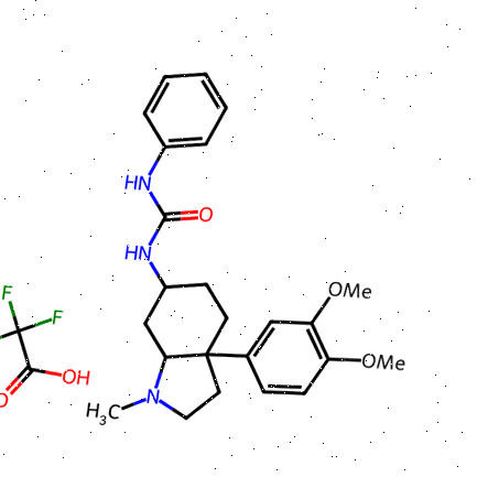 COc1ccc(C23CCC(NC(=O)Nc4ccccc4)CC2N(C)CC3)cc1OC.O=C(O)C(F)(F)F